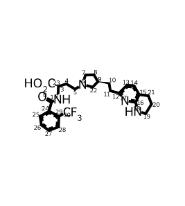 O=C(N[C@@H](CCN1CC[C@@H](CCc2ccc3c(n2)NCCC3)C1)C(=O)O)c1ccccc1C(F)(F)F